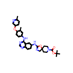 Cc1ccc(Oc2ccc(Nc3ncnc4ccc(NC5=NCC6(CCN(C(=O)OC(C)(C)C)CC6)O5)cc34)cc2C)cn1